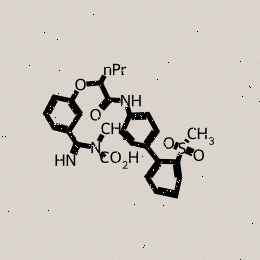 CCCC(Oc1cccc(C(=N)N(C)C(=O)O)c1)C(=O)Nc1ccc(-c2ccccc2S(C)(=O)=O)cc1